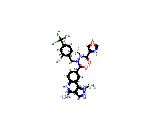 CN(C(=O)c1cocn1)N(Cc1ccc(C(F)(F)F)cc1F)C(=O)c1ccc2nc(N)c3cnn(C)c3c2c1